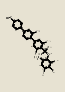 CCCc1ccc(-c2ccc(-c3cc(F)c(C(F)(F)Oc4c(C)cc(F)c(F)c4F)c(F)c3)c(F)c2)cc1